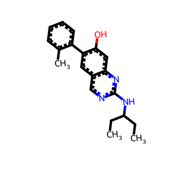 CCC(CC)Nc1ncc2cc(-c3ccccc3C)c(O)cc2n1